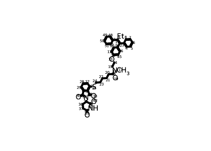 CC/C(=C(\c1ccccc1)c1ccc(OCCN(C)C(=O)CCCCCSc2cccc3c2C(=O)N(C2CCC(=O)NC2=O)C3=O)cc1)c1ccccc1